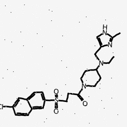 CCN(Cc1c[nH]c(C)n1)C1CCN(C(=O)CCS(=O)(=O)c2ccc3cc(Cl)ccc3c2)CC1